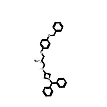 O[C@@H](CNC1CN(C(c2ccccc2)c2ccccc2)C1)COc1ccc(OCc2ccccc2)cc1